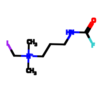 C[N+](C)(CI)CCCNC(=O)F